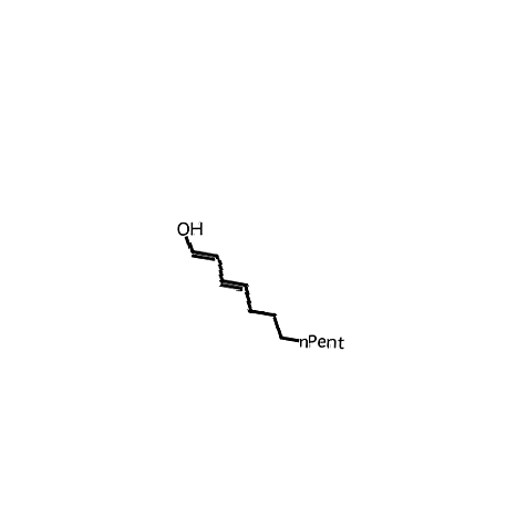 CCCCCCCCC=CC=CO